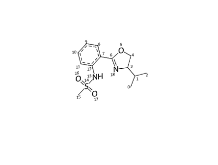 CC(C)C1COC(c2ccccc2NS(C)(=O)=O)=N1